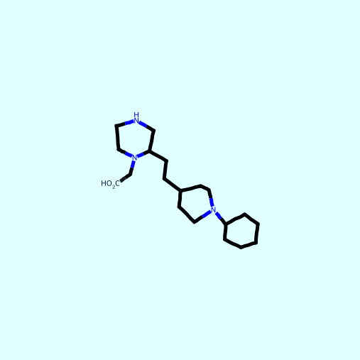 O=C(O)CN1[CH]CNCC1CCC1CCN(C2CCCCC2)CC1